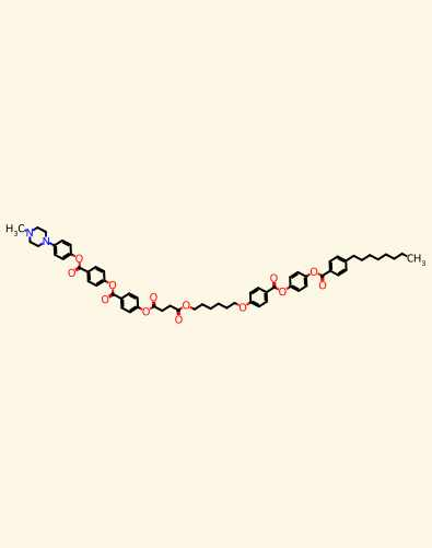 CCCCCCCCc1ccc(C(=O)Oc2ccc(OC(=O)c3ccc(OCCCCCCOC(=O)CCC(=O)Oc4ccc(C(=O)Oc5ccc(C(=O)Oc6ccc(N7CCN(C)CC7)cc6)cc5)cc4)cc3)cc2)cc1